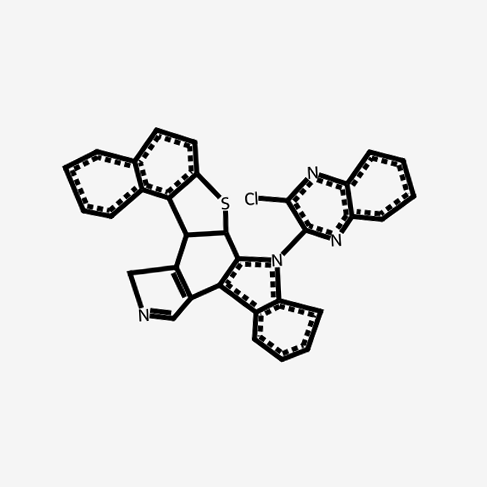 Clc1nc2ccccc2nc1-n1c2c(c3ccccc31)C1=C(CN=C1)C1c3c(ccc4ccccc34)SC21